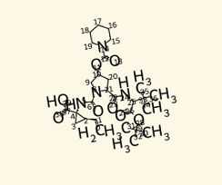 C=C[C@H]1C[C@]1(NC(=O)N1C[C@@H](OC(=O)N2CCCCC2)C[C@H]1C(=O)N[C@H](C(=O)OC(C)(C)C)C(C)(C)C)C(=O)O